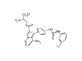 CCOC(=O)C(N)COC(=O)c1cn2ncnc(N)c2c1-c1ccc(NC(=O)Nc2cc(C(F)(F)F)ccn2)cc1